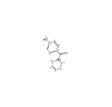 O=C(c1ccc(O)cc1)N1CC=CCC1